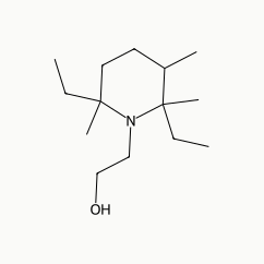 CCC1(C)CCC(C)C(C)(CC)N1CCO